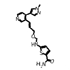 Cn1cc(-c2ccncc2/C=C/COCNc2ccc(C(N)=O)s2)cn1